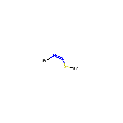 CC(C)/N=N\SC(C)C